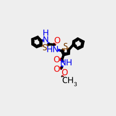 CCOC(=O)NC(=O)c1cc(-c2ccccc2)sc1NC(=O)C1Nc2ccccc2S1